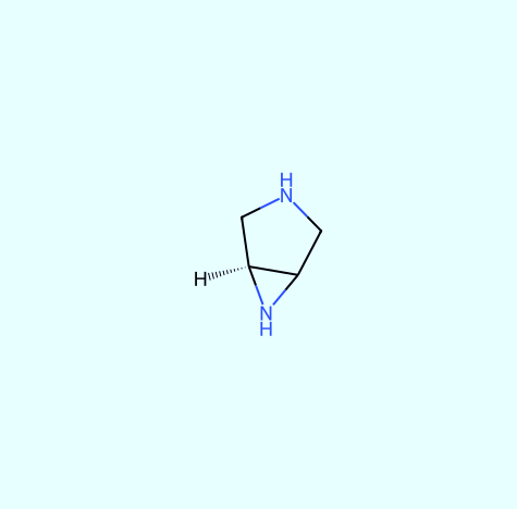 C1NC[C@@H]2NC12